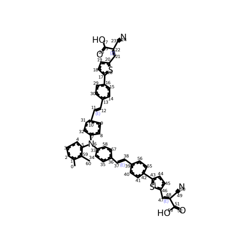 Cc1cccc(N(c2ccc(/C=C/c3ccc(-c4ccc(/C=C(/C#N)C(=O)O)s4)cc3)cc2)c2ccc(/C=C/c3ccc(-c4ccc(/C=C(\C#N)C(=O)O)s4)cc3)cc2)c1C